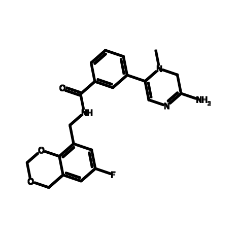 CN1CC(N)=NC=C1c1cccc(C(=O)NCc2cc(F)cc3c2OCOC3)c1